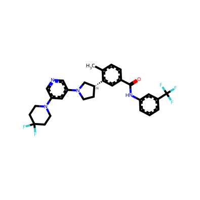 Cc1ccc(C(=O)Nc2cccc(C(F)(F)F)c2)cc1[C@@H]1CCN(c2cncc(N3CCC(F)(F)CC3)c2)C1